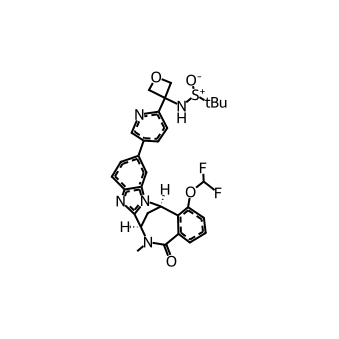 CN1C(=O)c2cccc(OC(F)F)c2[C@H]2C[C@@H]1c1nc3ccc(-c4ccc(C5(N[S+]([O-])C(C)(C)C)COC5)nc4)cc3n12